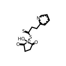 O=C1CCC(=O)[N+]1(O)SC(=S)CCc1ccccn1